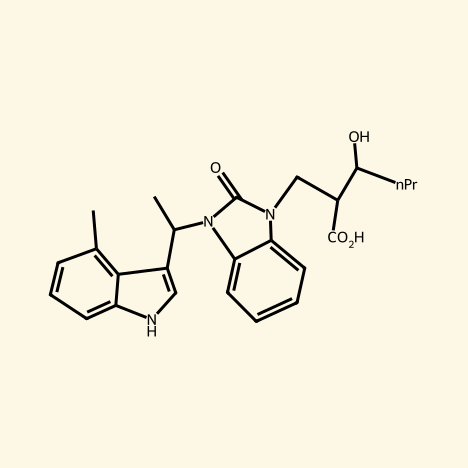 CCCC(O)C(Cn1c(=O)n(C(C)c2c[nH]c3cccc(C)c23)c2ccccc21)C(=O)O